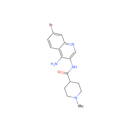 CC(C)(C)N1CCC(C(=O)Nc2cnc3cc(Br)ccc3c2N)CC1